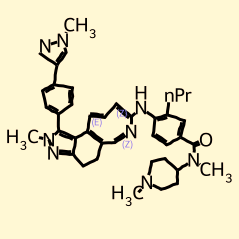 CCCc1cc(C(=O)N(C)C2CCN(C)CC2)ccc1NC1=C/C=C/C2=C(/C=N\1)CCc1nn(C)c(-c3ccc(-c4cnn(C)c4)cc3)c12